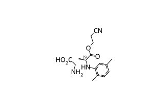 Cc1ccc(C)c(N[C@@H](C)C(=O)OCCC#N)c1.NCC(=O)O